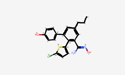 CCCc1cc(/C(N)=N/O)c(-c2ccc(Cl)s2)c(-c2ccc(O)cc2)c1